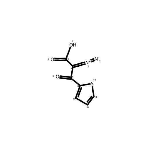 [N-]=[N+]=C(C(=O)O)C(=O)c1cccs1